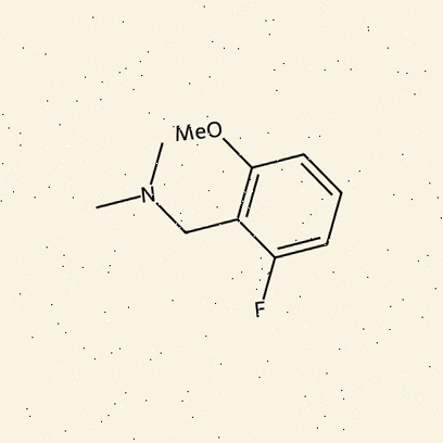 COc1cccc(F)c1CN(C)C